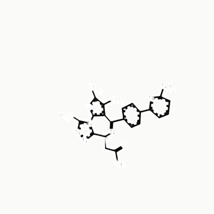 Cc1sc2c(c1C)C(c1ccc(-c3cccc(N)n3)cc1)=N[C@@H](CC(=O)O)c1nnc(C)n1-2